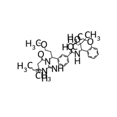 CC[C@]1(C)CC(=O)N(C(CCOC)c2cccc(C(=O)NC3c4ccccc4OC(C)(C)C3(C)O)c2)C(=N)N1